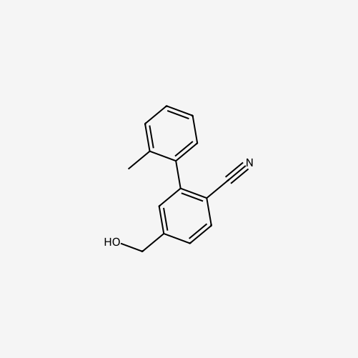 Cc1ccccc1-c1cc(CO)ccc1C#N